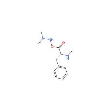 CN[C@H](Cc1ccccc1)C(=O)ONN(C)C